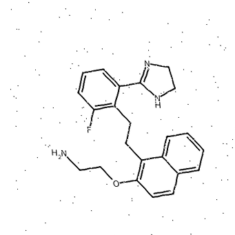 NCCOc1ccc2ccccc2c1CCc1c(F)cccc1C1=NCCN1